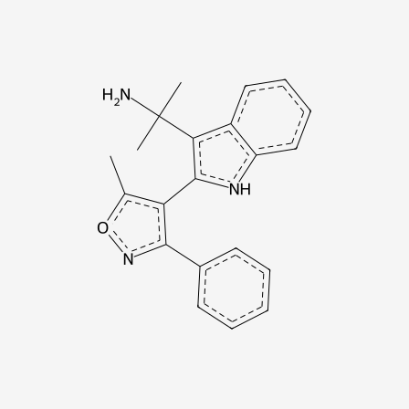 Cc1onc(-c2ccccc2)c1-c1[nH]c2ccccc2c1C(C)(C)N